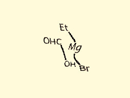 C[CH2][Mg][Br].O=CO